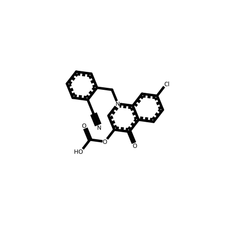 N#Cc1ccccc1Cn1cc(OC(=O)O)c(=O)c2ccc(Cl)cc21